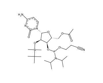 CC(=O)OC[C@H]1O[C@@H](n2ccc(N)nc2=O)[C@H](O[Si](C)(C)C(C)(C)C)[C@@H]1OP(OCCC#N)N(C(C)C)C(C)C